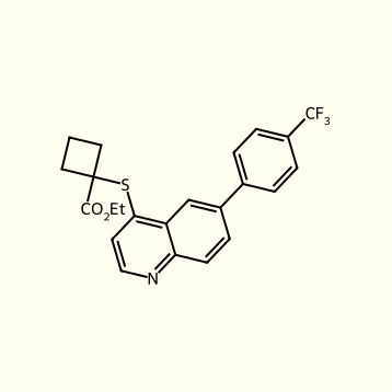 CCOC(=O)C1(Sc2ccnc3ccc(-c4ccc(C(F)(F)F)cc4)cc23)CCC1